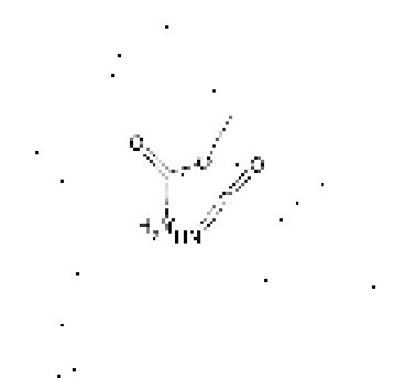 COC(N)=O.N=C=O